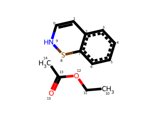 C1=Cc2ccccc2SN1.CCOC(C)=O